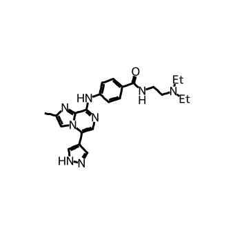 CCN(CC)CCNC(=O)c1ccc(Nc2ncc(-c3cn[nH]c3)n3cc(C)nc23)cc1